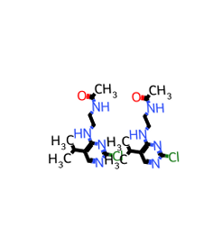 CC(=O)NCCNc1nc(Cl)ncc1C(C)C.CC(=O)NCCNc1nc(Cl)ncc1C(C)C